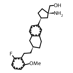 COc1cccc(F)c1CC[C@@H]1CCc2cc([C@H]3CC[C@](N)(CO)C3)ccc2C1